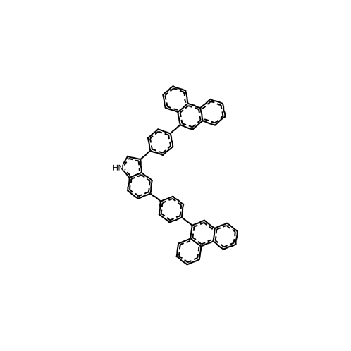 c1ccc2c(c1)cc(-c1ccc(-c3ccc4[nH]cc(-c5ccc(-c6cc7ccccc7c7ccccc67)cc5)c4c3)cc1)c1ccccc12